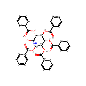 NC(=O)[C@H](OC(=O)c1ccccc1)[C@@H](OC(=O)c1ccccc1)[C@H](OC(=O)c1ccccc1)[C@@H](COC(=O)c1ccccc1)OC(=O)c1ccccc1